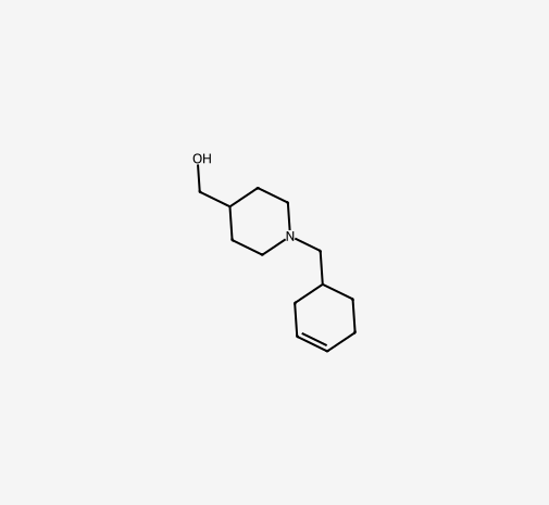 OCC1CCN(CC2CC=CCC2)CC1